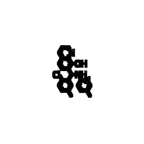 Cc1ccc(NC(c2cc(C)ccc2Cl)c2ccc3cccnc3c2O)nc1